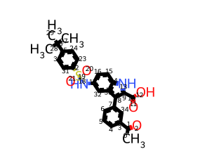 CC(=O)c1cccc(-c2c(C(=O)O)[nH]c3ccc(NS(=O)(=O)c4ccc(C(C)(C)C)cc4)cc23)c1